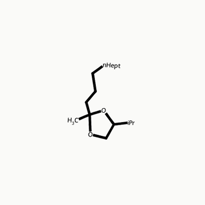 CCCCCCCCCCC1(C)OCC(C(C)C)O1